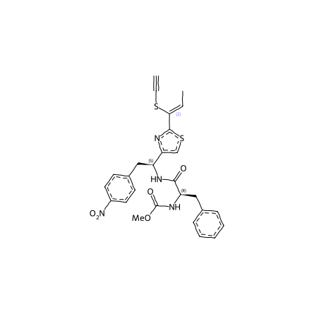 C#CS/C(=C\C)c1nc([C@H](Cc2ccc([N+](=O)[O-])cc2)NC(=O)[C@@H](Cc2ccccc2)NC(=O)OC)cs1